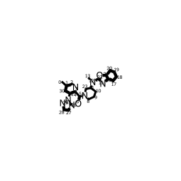 Cc1cnc(C(=O)N2CCCC(N(C)c3nc4ccccc4o3)C2)c(-n2nccn2)c1